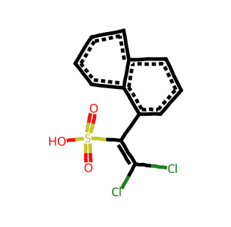 O=S(=O)(O)C(=C(Cl)Cl)c1cccc2ccccc12